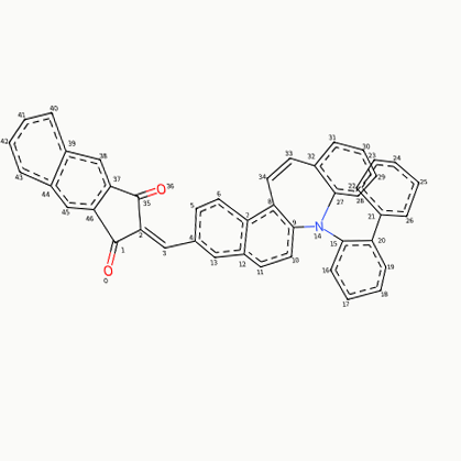 O=C1C(=Cc2ccc3c4c(ccc3c2)N(c2ccccc2-c2ccccc2)c2ccccc2C=C4)C(=O)c2cc3ccccc3cc21